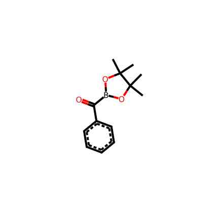 CC1(C)OB(C(=O)c2ccccc2)OC1(C)C